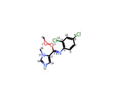 COOC(=Nc1ccc(Cl)cc1Cl)c1cncn1C